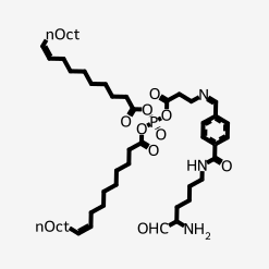 CCCCCCCC/C=C\CCCCCCCC(=O)OP(=O)(OC(=O)CCCCCCC/C=C\CCCCCCCC)OC(=O)CC/N=C\c1ccc(C(=O)NCCCCC(N)C=O)cc1